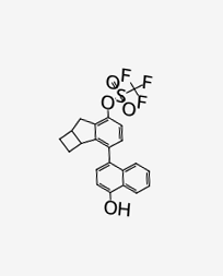 O=S(=O)(Oc1ccc(-c2ccc(O)c3ccccc23)c2c1CC1CCC21)C(F)(F)F